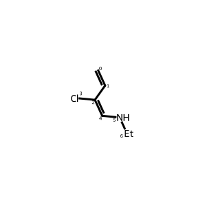 C=C/C(Cl)=C\NCC